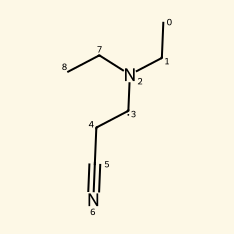 CCN([CH]CC#N)CC